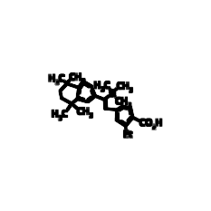 CCc1cc(C=C(c2ccc3c(c2)C(C)(C)CCC3(C)C)[Si](C)(C)C)ccc1C(=O)O